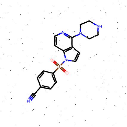 N#Cc1ccc(S(=O)(=O)n2ccc3c(N4CCNCC4)nccc32)cc1